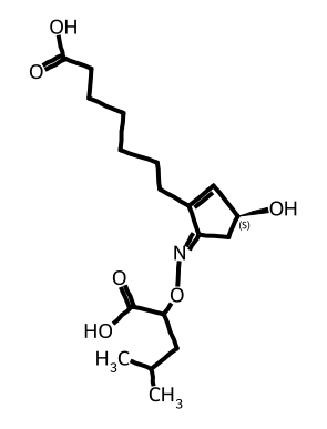 CC(C)CC(ON=C1C[C@H](O)C=C1CCCCCCC(=O)O)C(=O)O